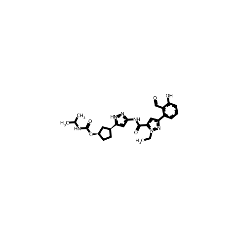 CCn1nc(-c2cccc(O)c2C=O)cc1C(=O)Nc1cc([C@H]2CC[C@@H](OC(=O)NC(C)C)C2)[nH]n1